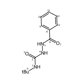 CC(C)(C)NC(=O)NNC(=O)c1ccccc1